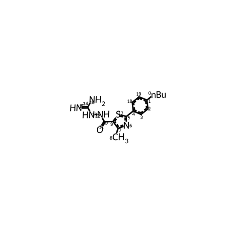 CCCCc1ccc(-c2nc(C)c(C(=O)NNC(=N)N)s2)cc1